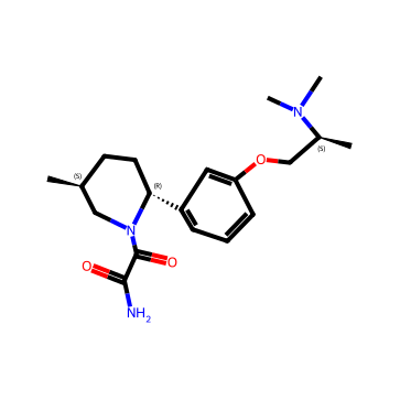 C[C@H]1CC[C@H](c2cccc(OC[C@H](C)N(C)C)c2)N(C(=O)C(N)=O)C1